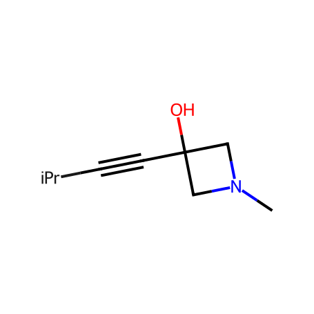 CC(C)C#CC1(O)CN(C)C1